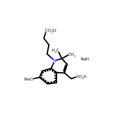 CCOC(=O)CCCN1c2cc(OC)ccc2C(CS(=O)(=O)O)=CC1(C)C.[NaH]